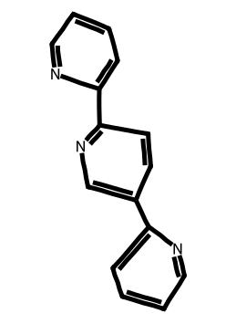 c1ccc(-c2ccc(-c3ccccn3)nc2)nc1